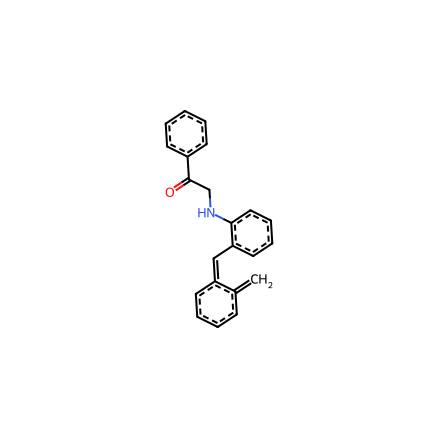 C=c1cccc/c1=C/c1ccccc1NCC(=O)c1ccccc1